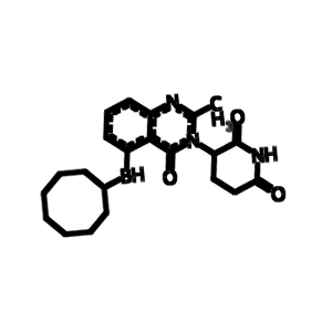 Cc1nc2cccc(BC3CCCCCCC3)c2c(=O)n1C1CCC(=O)NC1=O